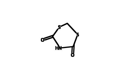 O=C1NC(=O)SCS1